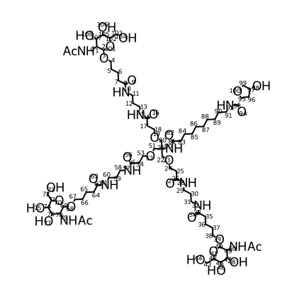 CC(=O)NC1C(OCCCCC(=O)NCCCNC(=O)CCOCC(COCCC(=O)NCCCNC(=O)CCCCOC2OC(CO)C(O)C(O)C2NC(C)=O)(COCCC(=O)NCCCNC(=O)CCCCOC2OC(CO)C(O)C(O)C2NC(C)=O)NC(=O)CCCCCCCCCNC(=O)[C@H]2C[C@@H](O)CO2)OC(CO)C(O)C1O